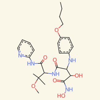 CCCCOc1ccc(NC(C(=O)NC(C(=O)Nc2ccccn2)C(C)(C)OC)C(O)C(=O)NO)cc1